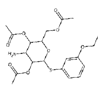 CCOc1cccc(SC2OC(COC(C)=O)C(OC(C)=O)C(N)C2OC(C)=O)c1